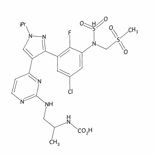 CC(CNc1nccc(-c2cn(C(C)C)nc2-c2cc(Cl)cc(N(CS(C)(=O)=O)[SH](=O)=O)c2F)n1)NC(=O)O